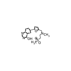 CN(CCS(C)(=O)=O)Cc1ccc(-c2ccc3ncnc(O)c3c2)o1